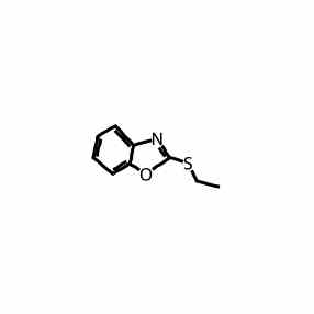 CCSc1nc2ccccc2o1